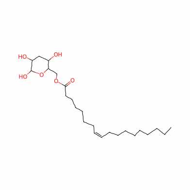 CCCCCCCCC/C=C\CCCCCCC(=O)OCC1OC(O)C(O)CC1O